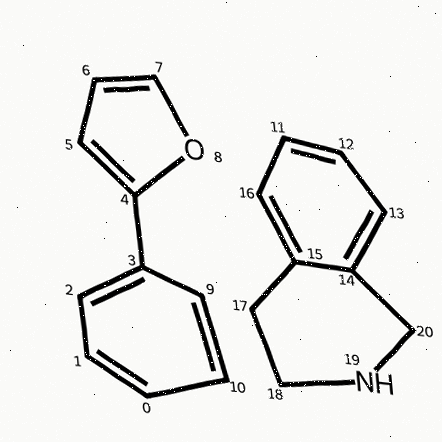 c1ccc(-c2ccco2)cc1.c1ccc2c(c1)CCNC2